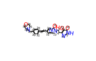 O=C1N(CCc2nc[nH]c(=O)c2O)Cc2cc(C#Cc3ccc(CN4CCOCC4)cc3)cn21